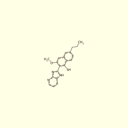 CCCc1ccc2c(S)c(-c3nc4ncccc4[nH]3)c(OC)cc2c1